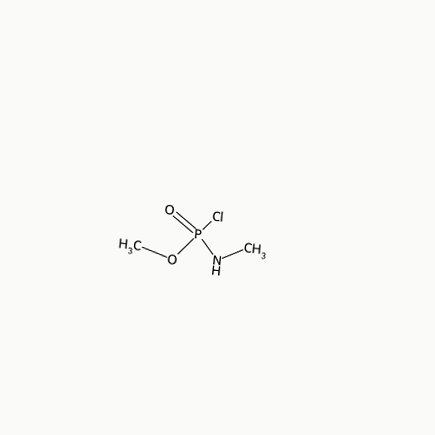 CNP(=O)(Cl)OC